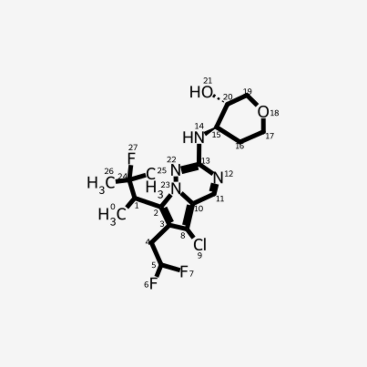 CC(c1c(CC(F)F)c(Cl)c2cnc(N[C@@H]3CCOC[C@H]3O)nn12)C(C)(C)F